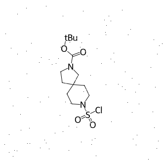 CC(C)(C)OC(=O)N1CCC2(CCN(S(=O)(=O)Cl)CC2)C1